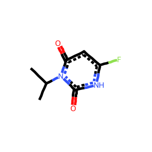 CC(C)n1c(=O)cc(F)[nH]c1=O